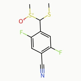 CSC(c1cc(F)c(C#N)cc1F)[S+](C)[O-]